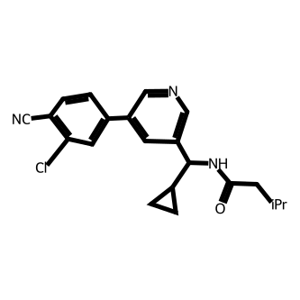 CC(C)CC(=O)NC(c1cncc(-c2ccc(C#N)c(Cl)c2)c1)C1CC1